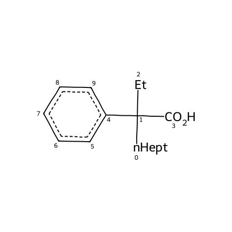 CCCCCCCC(CC)(C(=O)O)c1ccccc1